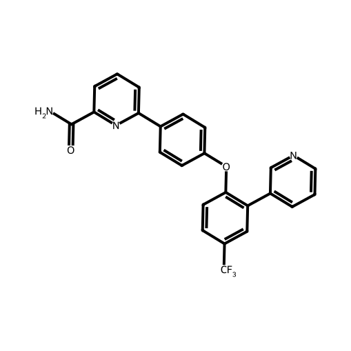 NC(=O)c1cccc(-c2ccc(Oc3ccc(C(F)(F)F)cc3-c3cccnc3)cc2)n1